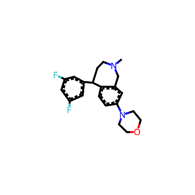 CN1CCC(c2cc(F)cc(F)c2)c2ccc(N3CCOCC3)cc2C1